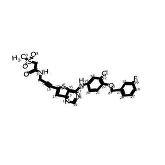 CS(=O)(=O)CC(=O)NCC#Cc1cc2ncnc(Nc3ccc(OCc4cccc(F)c4)c(Cl)c3)c2s1